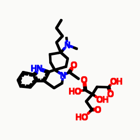 CCCCC1(N(C)C)CCC2(CC1)c1[nH]c3ccccc3c1CCN2C(C)=O.O=C(O)CC(O)(CC(=O)O)C(=O)O